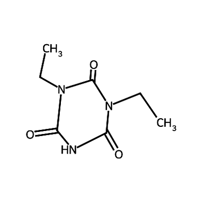 CCn1c(=O)[nH]c(=O)n(CC)c1=O